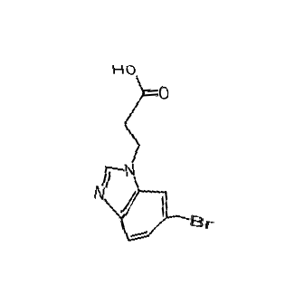 O=C(O)CCn1cnc2ccc(Br)cc21